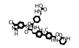 Cc1cc(C(=O)N[C@H]2CCCNC2=O)ccc1-c1ccc(C[C@H](NC(=O)[C@H]2CC[C@H](CNC(=O)O)CC2)C(=O)Nc2ccc3c(Cl)n[nH]c3c2)cc1